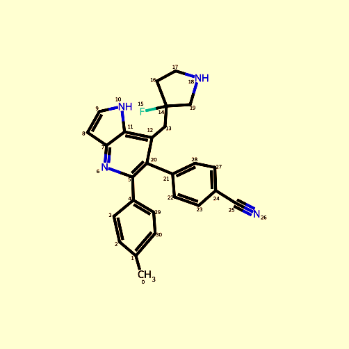 Cc1ccc(-c2nc3cc[nH]c3c(CC3(F)CCNC3)c2-c2ccc(C#N)cc2)cc1